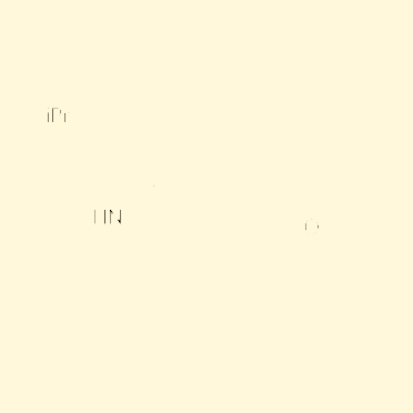 CC(C)CC(=N)CCc1ccco1